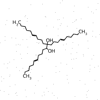 CCCCCC=CCCCC(O)C(O)(CCCC=CCCCCC)CCCC=CCCCCC